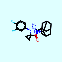 NC(=O)C12CC3CC(C1)C(NC(=O)C1(Nc4ccc(F)c(F)c4)CC1)C(C3)C2